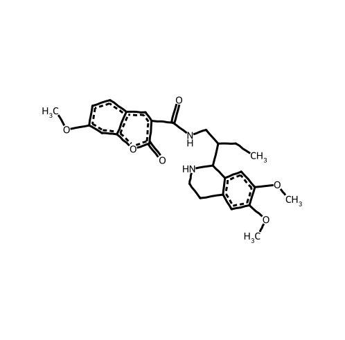 CCC(CNC(=O)c1cc2ccc(OC)cc2oc1=O)C1NCCc2cc(OC)c(OC)cc21